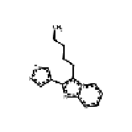 CCCCCc1c(-c2cnoc2)nc2ccccn12